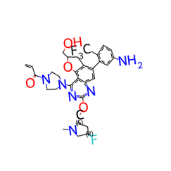 C=CC(=O)N1CCN(c2nc(OC[C@@H]3C[C@@H](F)CN3C)nc3cc(-c4cc(N)ccc4C(F)(F)F)c4c(c23)OC(CO)C4)CC1